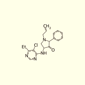 C=CCN1CC(Nc2ncnc(CC)c2Cl)C(=O)C1c1ccccc1